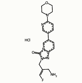 Cl.NC/C(=C\F)Cn1nc2ccc(-c3ccc(N4CCOCC4)nc3)cn2c1=O